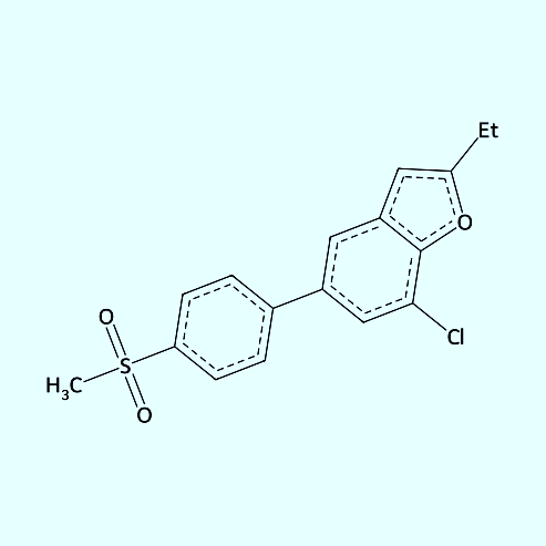 CCc1cc2cc(-c3ccc(S(C)(=O)=O)cc3)cc(Cl)c2o1